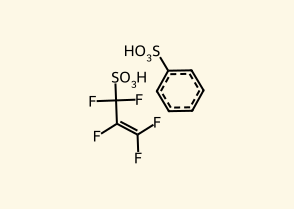 O=S(=O)(O)C(F)(F)C(F)=C(F)F.O=S(=O)(O)c1ccccc1